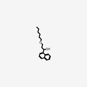 CCCCCCOCCC(O)c1cccc2ccccc12